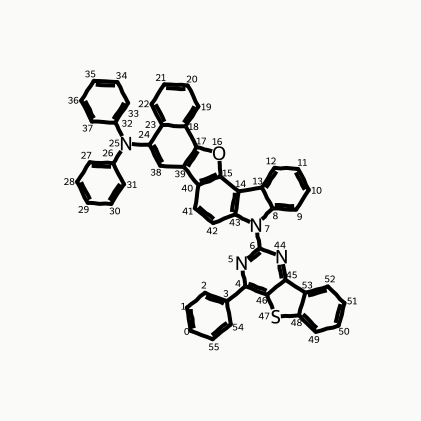 c1ccc(-c2nc(-n3c4ccccc4c4c5oc6c7ccccc7c(N(c7ccccc7)c7ccccc7)cc6c5ccc43)nc3c2sc2ccccc23)cc1